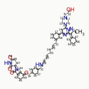 Cc1nn2c(N3CCN(CCO)CC3)cc(-c3cccc(CCCCCCCCCNCc4ccc(COc5cccc6c5CN(C5CCC(=O)NC5=O)C6=O)cc4)c3)nc2c1-c1ccccc1